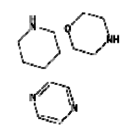 C1CCNCC1.C1COCCN1.c1cnccn1